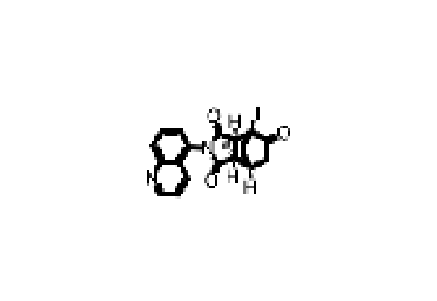 O=C1C[C@H]2CC[C@@H]1[C@H]1C(=O)N(c3cccc4ncccc34)C(=O)[C@@H]21